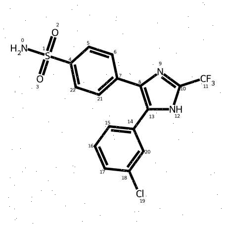 NS(=O)(=O)c1ccc(-c2nc(C(F)(F)F)[nH]c2-c2cccc(Cl)c2)cc1